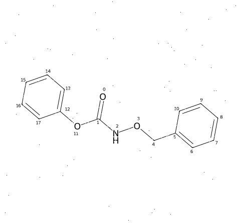 O=C(NOCc1ccccc1)Oc1ccccc1